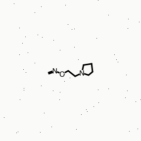 C=NOCCN1CCCC1